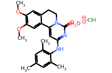 COc1cc2c(cc1OC)-c1cc(Nc3c(C)cc(C)cc3C)nc(=O)n1CC2.Cl.O.O